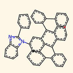 c1ccc(-c2ccccc2-c2c3ccccc3c(-c3ccccc3-c3ccccc3)c3cc(-n4c(-c5ccccc5)nc5ccccc54)ccc23)cc1